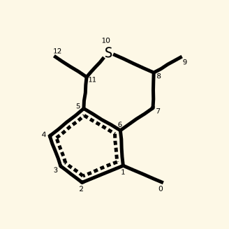 Cc1cccc2c1CC(C)SC2C